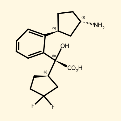 N[C@H]1CC[C@H](c2ccccc2[C@@](O)(C(=O)O)[C@@H]2CCC(F)(F)C2)C1